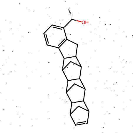 C[C@H](O)c1cccc2c1CC1C3CC(C21)C1C2CC(C4C5C=CC(C5)C24)C31